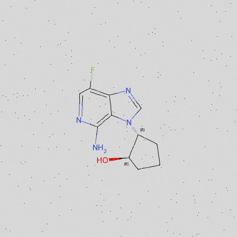 Nc1ncc(F)c2ncn([C@@H]3CCC[C@H]3O)c12